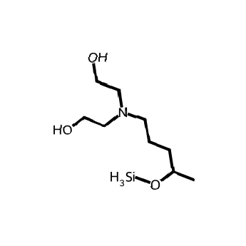 CC(CCCN(CCO)CCO)O[SiH3]